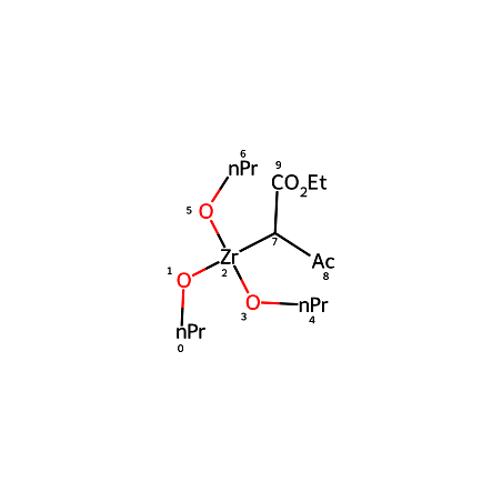 CCC[O][Zr]([O]CCC)([O]CCC)[CH](C(C)=O)C(=O)OCC